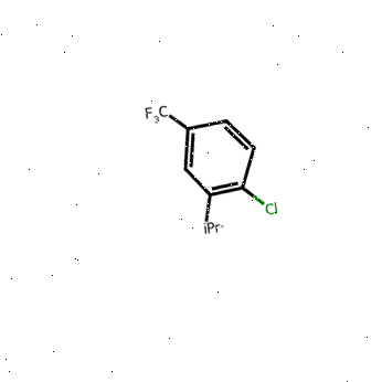 C[C](C)c1cc(C(F)(F)F)ccc1Cl